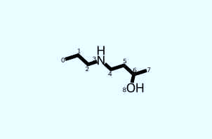 CCCNCCC(C)O